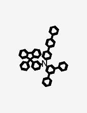 c1ccc(-c2ccc(-c3ccc(N(c4cc(-c5ccccc5)cc(-c5ccccc5)c4)c4cccc(C5(c6ccccc6)c6ccccc6-c6ccccc65)c4)cc3)cc2)cc1